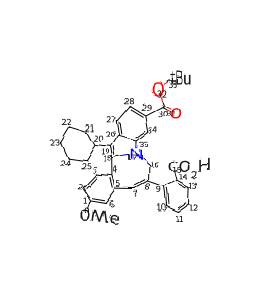 COc1ccc2c(c1)C=C(c1ccccc1C(=O)O)Cn1c-2c(C2CCCCC2)c2ccc(C(=O)OC(C)(C)C)cc21